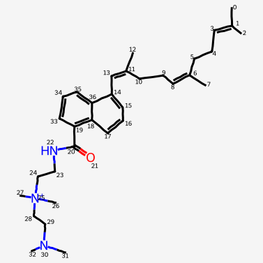 CC(C)=CCCC(C)=CCCC(C)=Cc1cccc2c(C(=O)NCC[N+](C)(C)CCN(C)C)cccc12